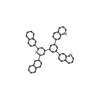 c1ccc2cc(-c3cc(-c4cc(-c5ccc6cccnc6c5)cc(-c5ccc6cccnc6c5)c4)cc(-c4ccc5ccccc5c4)n3)ccc2c1